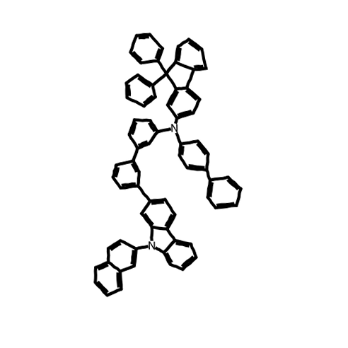 c1ccc(-c2ccc(N(c3cccc(-c4cccc(-c5ccc6c7ccccc7n(-c7ccc8ccccc8c7)c6c5)c4)c3)c3ccc4c(c3)C(c3ccccc3)(c3ccccc3)c3ccccc3-4)cc2)cc1